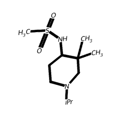 CC(C)N1CCC(NS(C)(=O)=O)C(C)(C)C1